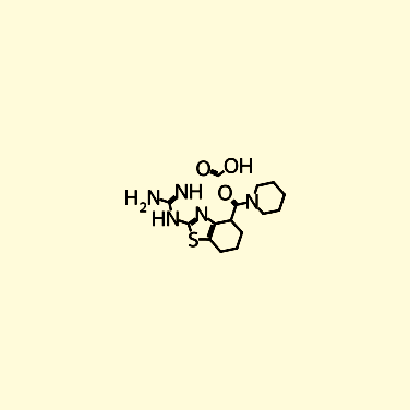 N=C(N)Nc1nc2c(s1)CCCC2C(=O)N1CCCCC1.O=CO